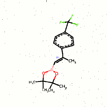 C/C(=C\B1OC(C)(C)C(C)(C)O1)c1ccc(C(F)(F)F)cc1